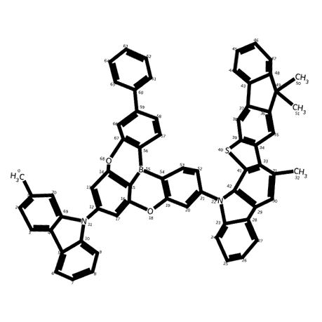 Cc1ccc2c3ccccc3n(-c3cc4c5c(c3)Oc3cc(-n6c7ccccc7c7cc(C)c8c9cc%10c(cc9sc8c76)-c6ccccc6C%10(C)C)ccc3B5c3ccc(-c5ccccc5)cc3O4)c2c1